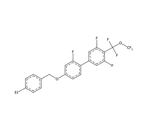 CCc1ccc(COc2ccc(-c3cc(F)c(C(F)(F)OC(F)(F)F)c(F)c3)c(F)c2)cc1